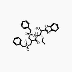 CCC[C@H](NC(=O)C(CS(=O)(=O)Cc1ccccc1)CS(=O)(=O)Cc1ccccc1)C(O)c1nc2ccccc2o1